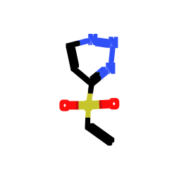 C=CS(=O)(=O)c1ccnnn1